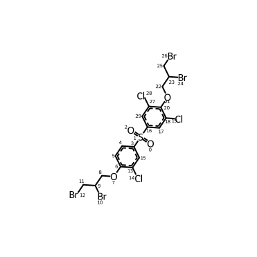 O=S(=O)(c1ccc(OCC(Br)CBr)c(Cl)c1)c1cc(Cl)c(OCC(Br)CBr)c(Cl)c1